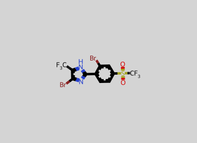 O=S(=O)(c1ccc(-c2nc(Br)c(C(F)(F)F)[nH]2)c(Br)c1)C(F)(F)F